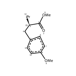 COC(=O)[C@@H](Cc1ccc(OC)cc1)C(C)C